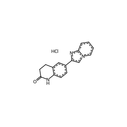 Cl.O=C1CCc2cc(-c3cn4ccccc4n3)ccc2N1